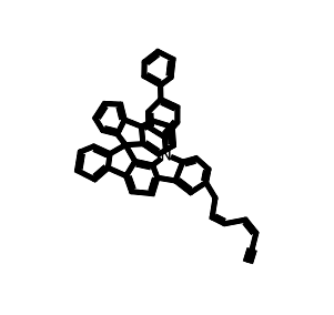 C#C/C=C\C=C/Cc1ccc2c(c1)c1ccc3c(c1n2-c1ccc(-c2ccccc2)cc1)C1(c2ccccc2-c2ccccc21)c1ccccc1-3